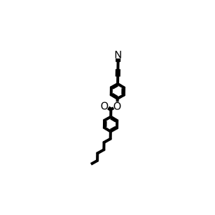 CCCCCCc1ccc(C(=O)Oc2ccc(C#CC#N)cc2)cc1